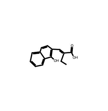 CCC(=Cc1ccc2ccccc2c1O)C(=O)O